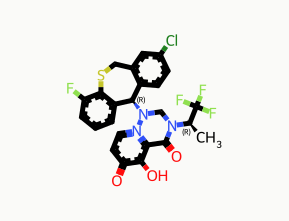 C[C@@H](N1CN([C@@H]2c3ccc(Cl)cc3CSc3c(F)cccc32)n2ccc(=O)c(O)c2C1=O)C(F)(F)F